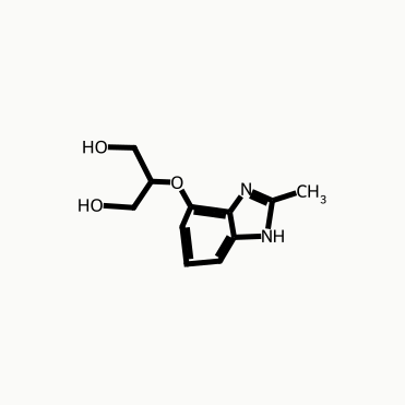 Cc1nc2c(OC(CO)CO)cccc2[nH]1